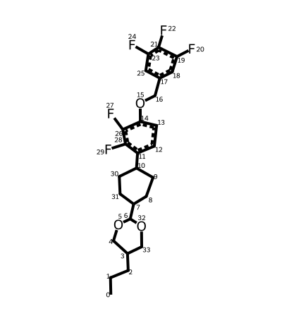 CCCC1COC(C2CCC(c3ccc(OCc4cc(F)c(F)c(F)c4)c(F)c3F)CC2)OC1